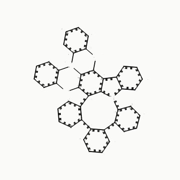 c1ccc2c(c1)Oc1c3c(c4c5ccccc5n5c6ccccc6c6ccccc6c6ccccc6c1c45)Oc1ccccc1B23